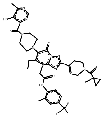 CCc1c(N2CCN(C(=O)c3ncnc(C)c3O)CC2)c(=O)n2nc(C3=CCN(C(=O)C4(F)CC4)CC3)nc2n1CC(=O)Nc1ccc(C(F)(F)F)cc1C